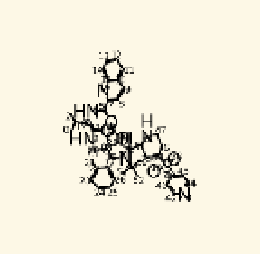 CC(C)[C@H](NC(=O)c1ccc2ccccc2n1)C(=O)N[C@@H](Cc1ccccc1)[C@H](O)CN(C(=O)C1C[C@H](S(=O)(=O)c2ccncc2)CCN1)C(C)(C)C